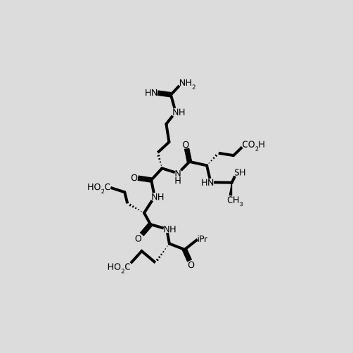 CC(C)C(=O)[C@H](CCC(=O)O)NC(=O)[C@H](CCC(=O)O)NC(=O)[C@H](CCCNC(=N)N)NC(=O)[C@H](CCC(=O)O)N[C@H](C)S